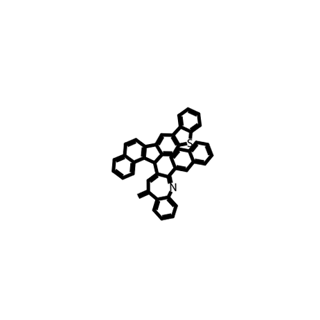 C=C1C=C(C2c3cc4sc5ccccc5c4cc3-c3ccc4ccccc4c32)C(c2ccc3ccccc3c2)=Nc2ccccc21